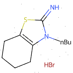 Br.CCCCn1c2c(sc1=N)CCCC2